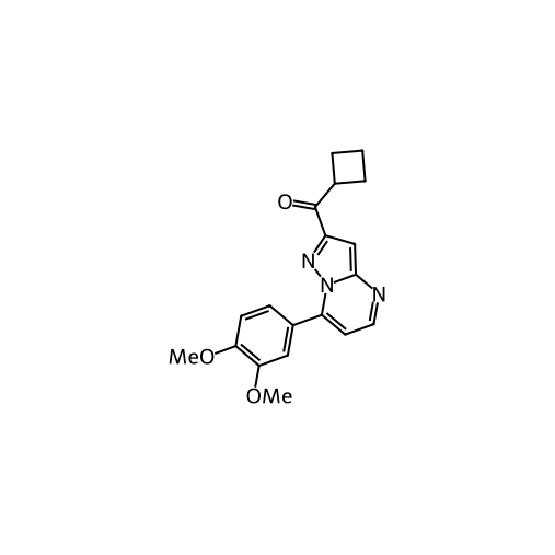 COc1ccc(-c2ccnc3cc(C(=O)C4CCC4)nn23)cc1OC